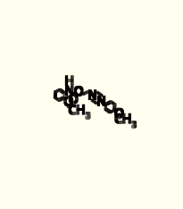 CCOc1ccccc1NC(=O)OCCN1CCN(c2ccc(OC)cc2)CC1